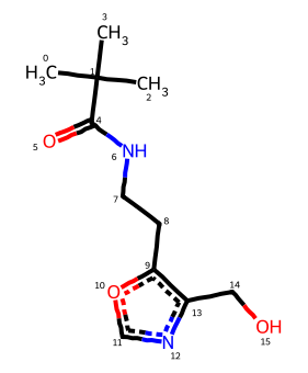 CC(C)(C)C(=O)NCCc1ocnc1CO